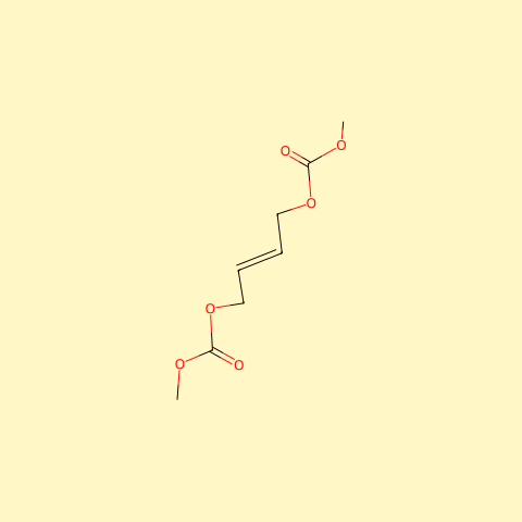 COC(=O)OCC=CCOC(=O)OC